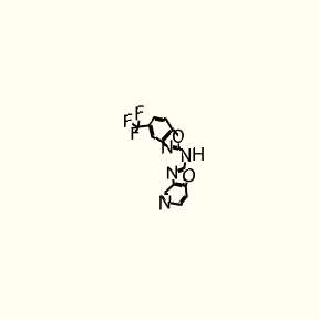 FC(F)(F)c1ccc2oc(Nc3nc4cnccc4o3)nc2c1